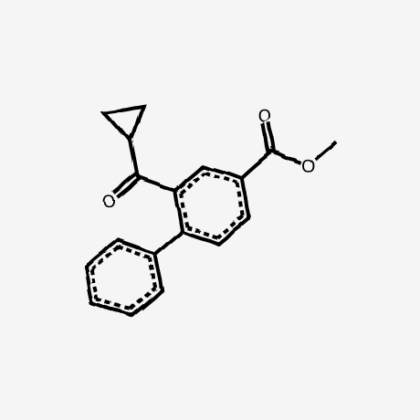 COC(=O)c1ccc(-c2ccccc2)c(C(=O)C2CC2)c1